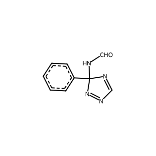 O=CNC1(c2ccccc2)N=CN=N1